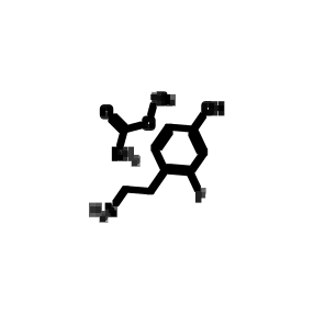 CC(C)(C)OC(N)=O.NCCc1ccc(O)cc1F